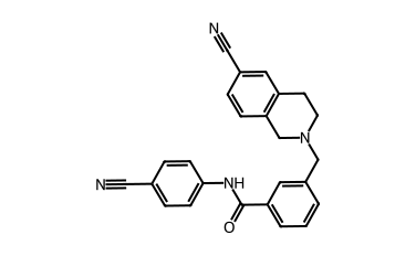 N#Cc1ccc(NC(=O)c2cccc(CN3CCc4cc(C#N)ccc4C3)c2)cc1